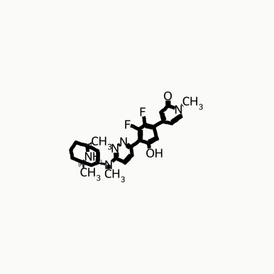 CN(c1ccc(-c2c(O)cc(-c3ccn(C)c(=O)c3)c(F)c2F)nn1)[C@@H]1C[C@]2(C)CCC[C@](C)(C1)N2